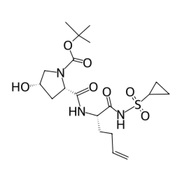 C=CCC[C@H](NC(=O)[C@@H]1C[C@H](O)CN1C(=O)OC(C)(C)C)C(=O)NS(=O)(=O)C1CC1